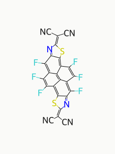 N#CC(C#N)=c1nc2c(F)c3c(F)c(F)c4c5sc(=C(C#N)C#N)nc5c(F)c5c(F)c(F)c(c2s1)c3c54